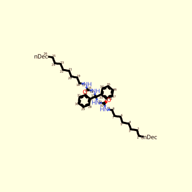 CCCCCCCCCCCCCCCCCCNC(=O)NC(NC(=O)NCCCCCCCCCCCCCCCCCC)(c1ccccc1)c1ccccc1